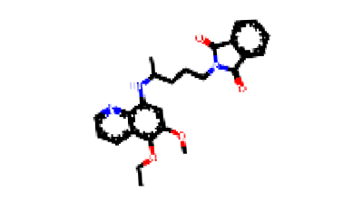 CCOc1c(OC)cc(NC(C)CCCN2C(=O)c3ccccc3C2=O)c2ncccc12